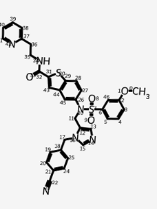 COc1cccc(S(=O)(=O)N(Cc2cncn2Cc2ccc(C#N)cc2)c2ccc3sc(C(=O)NCCc4ccccn4)cc3c2)c1